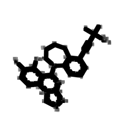 CC(C)(C#Cc1cccc2c1CCCCN2c1nc2nncn2c2ccc(F)c(F)c12)C(F)(F)F